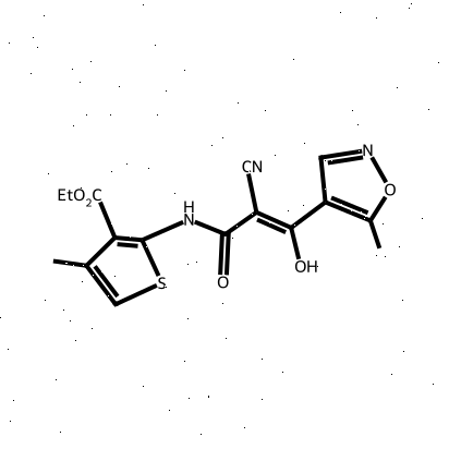 CCOC(=O)c1c(C)csc1NC(=O)/C(C#N)=C(\O)c1cnoc1C